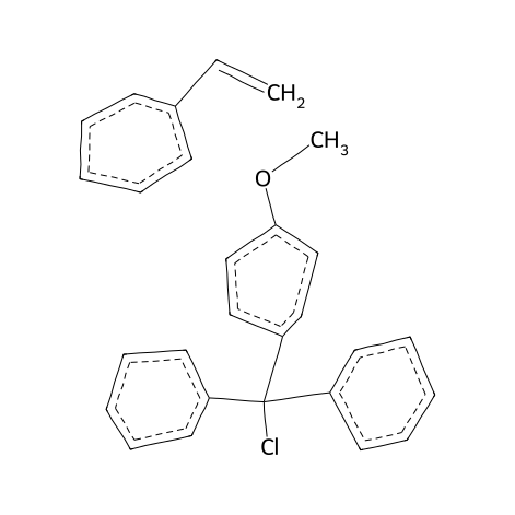 C=Cc1ccccc1.COc1ccc(C(Cl)(c2ccccc2)c2ccccc2)cc1